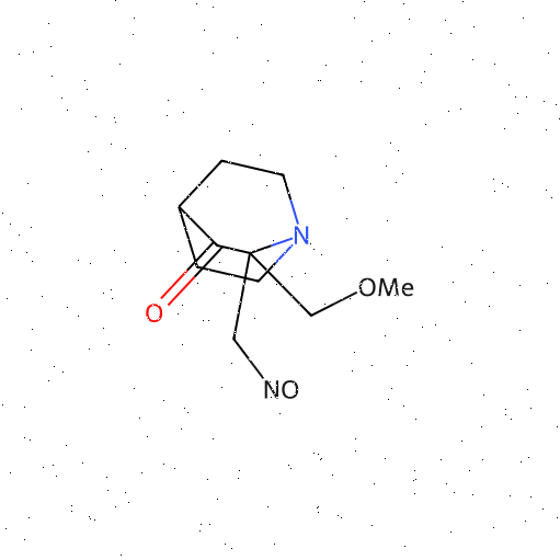 COCC1(CN=O)C(=O)C2CCN1CC2